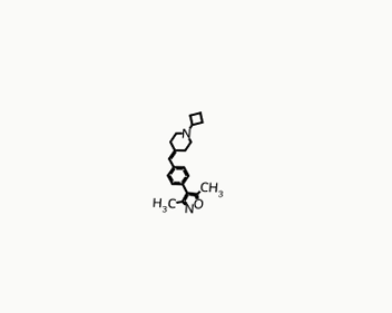 Cc1noc(C)c1-c1ccc(C=C2CCN(C3CCC3)CC2)cc1